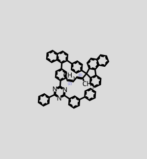 C/C=C\C=C(/C)C1(c2ccc(-c3ccc4ccccc4c3-c3ccc(-c4nc(-c5ccccc5)nc(-c5cccc(-c6ccccc6)c5)n4)cc3)cc2)c2ccccc2-c2c1ccc1ccccc21